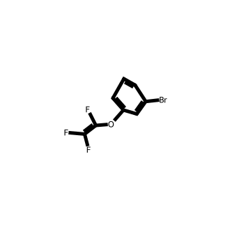 FC(F)=C(F)Oc1cccc(Br)c1